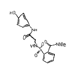 CNC(=O)c1ccccc1S(=O)(=O)NCC(=O)Nc1ccc(O)cc1